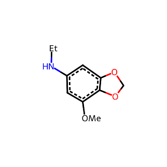 CCNc1cc(OC)c2c(c1)OCO2